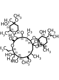 CC[C@H]1OC(=O)[C@H](C)[C@@H](O[C@H]2C[C@@](C)(OC)[C@@H](O)[C@H](C)O2)[C@H](C)[C@@H](O[C@@H]2O[C@H](C)C[C@H](N(C)C)[C@H]2O)C(C)(OC)C[C@@H](C)C(=O)[C@H](C)[C@@H](O)[C@]1(C)O